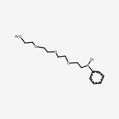 CCN(CCOCCOCCOCCOC(C)=O)c1ccccc1